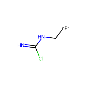 CCCCNC(=N)Cl